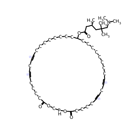 CC(CC(=O)OC1CCCCCCCC/C=C\C/C=C\CCCCC(=O)OCPOC(=O)CCCC/C=C\C/C=C\CCCCCCCC1)CC(C)(C)CN(C)C